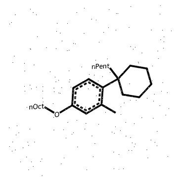 CCCCCCCCOc1ccc(C2(CCCCC)CCCCC2)c(C)c1